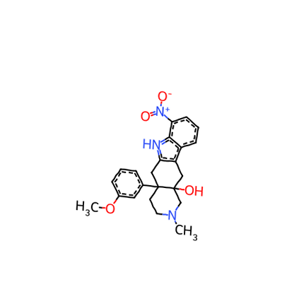 COc1cccc(C23CCN(C)CC2(O)Cc2c([nH]c4c([N+](=O)[O-])cccc24)C3)c1